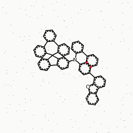 c1ccc(-c2ccccc2N(c2ccc(-c3cccc4c3oc3ccccc34)cc2)c2ccc3c(c2)C2(c4ccccc4-c4ccccc4-c4ccccc42)c2ccccc2-3)cc1